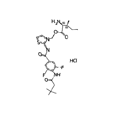 CC[C@H](C)[C@H](N)C(=O)OCn1ccsc1=NC(=O)c1cc(F)c(NC(=O)CC(C)(C)C)c(F)c1.Cl